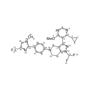 COc1ncnc(C2CC2)c1-c1nn(C(F)F)c2c1CN(c1ccc(-c3nc(C(F)(F)F)cn3C)cc1)CC2